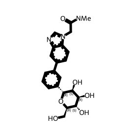 CNC(=O)Cn1cnc2cc(-c3cccc([C@H]4O[C@H](CO)[C@@H](O)[C@H](O)[C@@H]4O)c3)ccc21